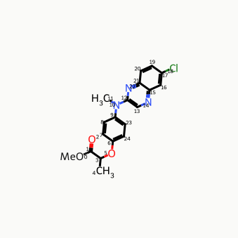 COC(=O)C(C)Oc1ccc(N(C)c2cnc3cc(Cl)ccc3n2)cc1